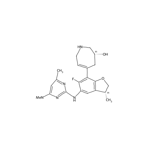 CNc1cc(C)nc(Nc2cc3c(c(C4=CCNC[C@H](O)C4)c2F)OC[C@@H]3C)n1